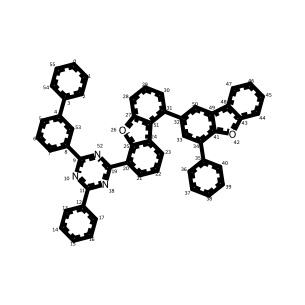 c1ccc(-c2cccc(-c3nc(-c4ccccc4)nc(-c4cccc5c4oc4cccc(-c6cc(-c7ccccc7)c7oc8ccccc8c7c6)c45)n3)c2)cc1